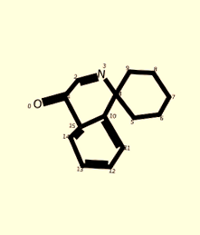 O=C1C=NC2(CCCCC2)c2ccccc21